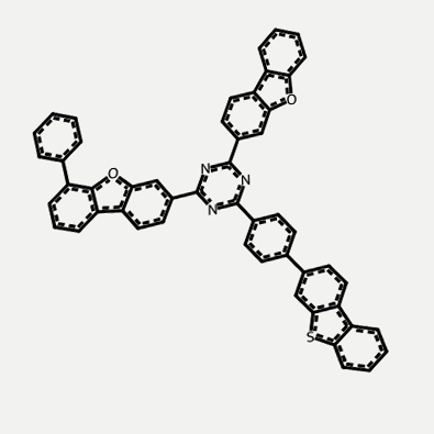 c1ccc(-c2cccc3c2oc2cc(-c4nc(-c5ccc(-c6ccc7c(c6)sc6ccccc67)cc5)nc(-c5ccc6c(c5)oc5ccccc56)n4)ccc23)cc1